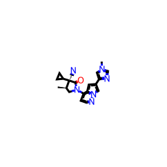 C[C@@H]1CN(c2ccnn3cc(-c4cn(C)cn4)cc23)C(=O)[C@]1(C#N)C1CC1